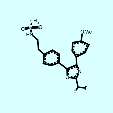 COc1ccc(-c2nc(C(F)F)oc2-c2ccc(CCNS(C)(=O)=O)cc2)cc1